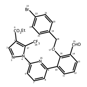 CCOC(=O)c1cnn(-c2cccc(-c3cccc(C=O)c3OCc3ccc(Br)cc3)n2)c1C(F)(F)F